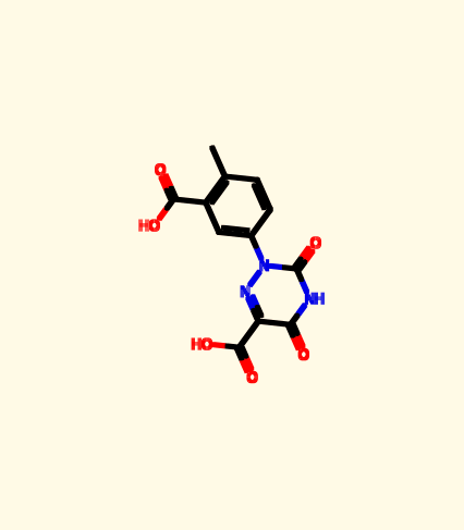 Cc1ccc(-n2nc(C(=O)O)c(=O)[nH]c2=O)cc1C(=O)O